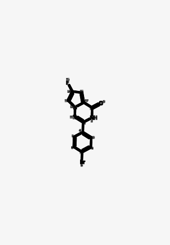 O=c1[nH]c(-c2ccc(Br)cc2)nn2cc(F)cc12